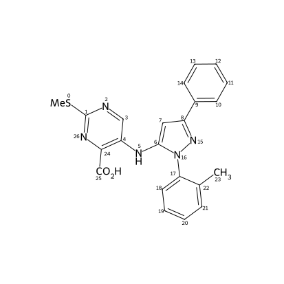 CSc1ncc(Nc2cc(-c3ccccc3)nn2-c2ccccc2C)c(C(=O)O)n1